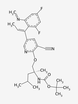 C=Nc1cc(F)cc(F)c1/C(=C\C)c1cnc(OC[C@](C)(CC(C)C)NC(=O)OC(C)(C)C)c(C#N)c1